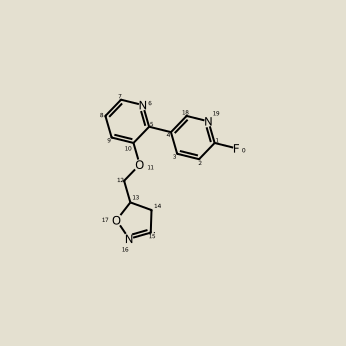 Fc1ccc(-c2ncccc2OCC2C[C]=NO2)cn1